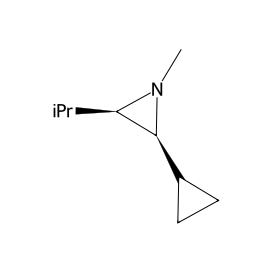 CC(C)[C@@H]1[C@H](C2CC2)N1C